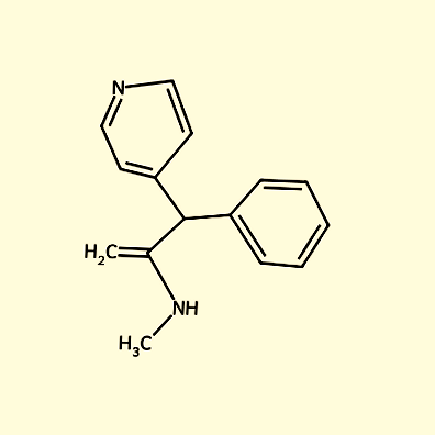 C=C(NC)C(c1ccccc1)c1ccncc1